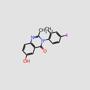 Cc1cc(I)ccc1-n1c(C)nc2ccc(O)cc2c1=O